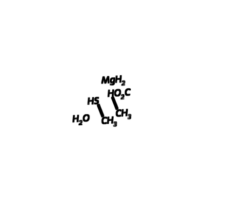 CC(=O)O.CS.O.[MgH2]